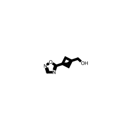 OCC12CC(c3n[c]no3)(C1)C2